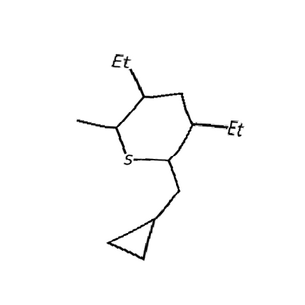 CCC1CC(CC)C(CC2CC2)SC1C